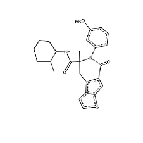 COc1cccc(N2C(=O)c3cc4sccc4n3CC2(C)C(=O)NC2CCCCC2C)c1